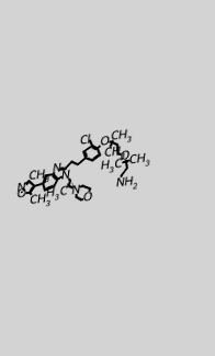 Cc1noc(C)c1-c1ccc2c(c1)nc(CCc1ccc(OC(C)(C)CCOC(C)(C)CCN)c(Cl)c1)n2C[C@H](C)N1CCOCC1